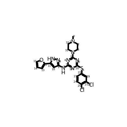 CN1CCN(c2nc(Nc3cc(-c4ccco4)[nH]n3)nc(Sc3ccc(Cl)c(Cl)c3)n2)CC1